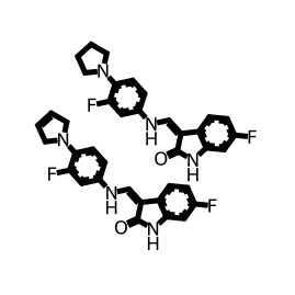 O=C1Nc2cc(F)ccc2C1=CNc1ccc(N2CC=CC2)c(F)c1.O=C1Nc2cc(F)ccc2C1=CNc1ccc(N2CCCC2)c(F)c1